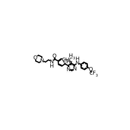 C=C(/C=C\C(=C/C)C(=O)NCCN1CCOCC1)c1ncnc(Nc2ccc(OC(F)(F)F)cc2)c1C